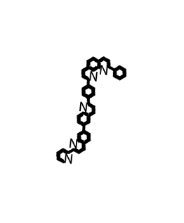 c1ccc(-c2ccc3ccc4ccc(-c5ccc(-c6ccc7cc(-c8ccc9ccc(-c%10ccccn%10)nc9c8)ccc7n6)cc5)nc4c3n2)cc1